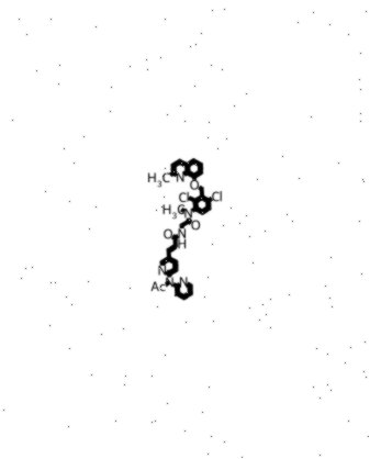 CC(=O)N(c1ccccn1)c1ccc(C=CC(=O)NCC(=O)N(C)c2ccc(Cl)c(COc3cccc4ccc(C)nc34)c2Cl)cn1